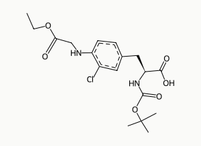 CCOC(=O)CNc1ccc(C[C@H](NC(=O)OC(C)(C)C)C(=O)O)cc1Cl